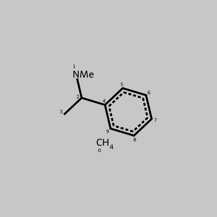 C.CNC(C)c1ccccc1